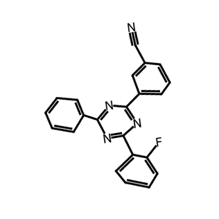 N#Cc1cccc(-c2nc(-c3ccccc3)nc(-c3ccccc3F)n2)c1